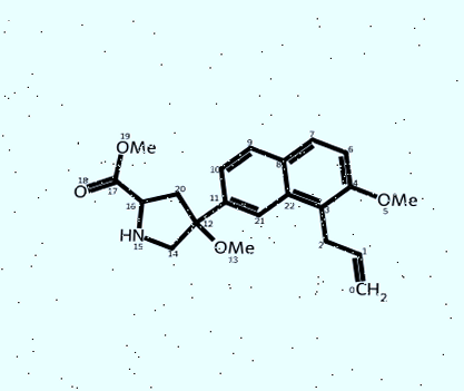 C=CCc1c(OC)ccc2ccc(C3(OC)CNC(C(=O)OC)C3)cc12